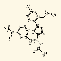 COCc1cc(Cl)ccc1-c1ccc(CCC(=O)O)n1-c1ccc(C(N)=O)cc1C